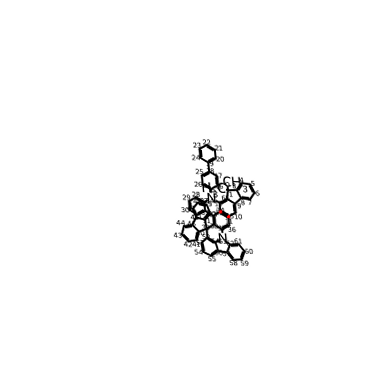 CC1(C)c2ccccc2-c2cccc(N(c3ccc(-c4ccccc4)cc3)c3ccccc3-c3cccc4c3C3(c5ccccc5-c5ccccc53)c3cccc5c6ccccc6n-4c35)c21